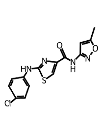 Cc1cc(NC(=O)c2csc(Nc3ccc(Cl)cc3)n2)no1